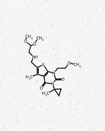 COCCn1c(=O)n(C2(C)CC2)c(=O)c2c(C)c(CNCC(OC)OC)sc21